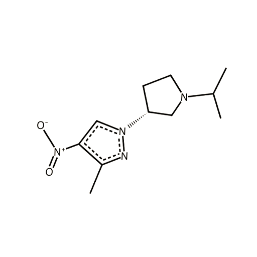 Cc1nn([C@@H]2CCN(C(C)C)C2)cc1[N+](=O)[O-]